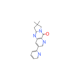 CC1(C)Cc2nc3cc(-c4ccccn4)cnc3c(=O)n2C1